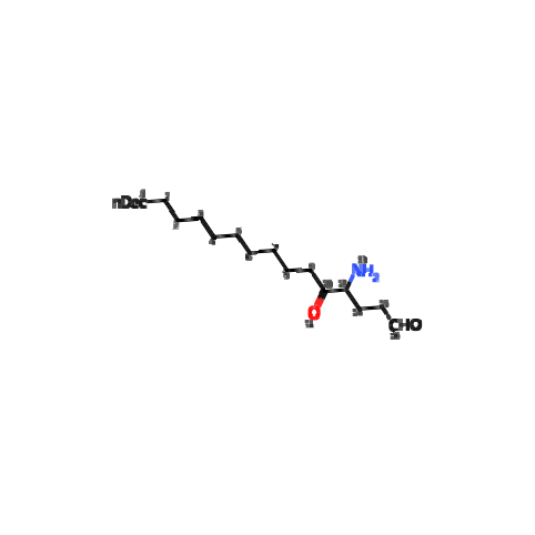 CCCCCCCCCCCCCCCCCCCC(=O)C(N)CCC=O